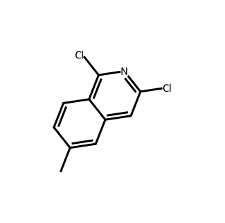 Cc1ccc2c(Cl)nc(Cl)cc2c1